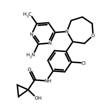 Cc1cc(N2CCCOCC2c2ccc(NC(=O)C3(O)CC3)cc2Cl)nc(N)n1